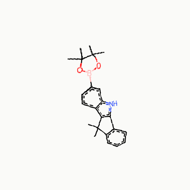 CC1(C)c2ccccc2-c2[nH]c3cc(B4OC(C)(C)C(C)(C)O4)ccc3c21